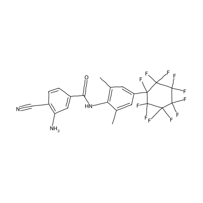 Cc1cc(C2(F)C(F)(F)C(F)(F)C(F)(F)C(F)(F)C2(F)F)cc(C)c1NC(=O)c1ccc(C#N)c(N)c1